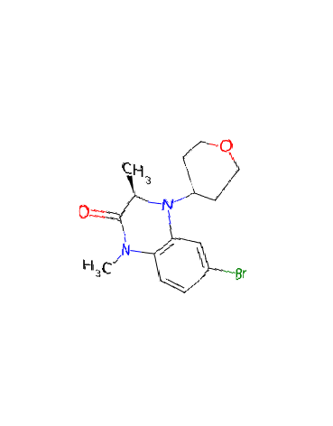 C[C@@H]1C(=O)N(C)c2ccc(Br)cc2N1C1CCOCC1